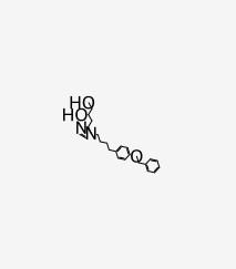 OCC(O)Cc1nccn1CCCCc1ccc(OCc2ccccc2)cc1